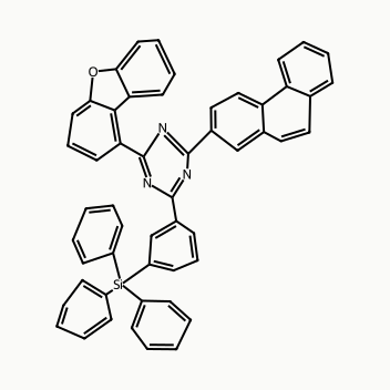 c1ccc([Si](c2ccccc2)(c2ccccc2)c2cccc(-c3nc(-c4ccc5c(ccc6ccccc65)c4)nc(-c4cccc5oc6ccccc6c45)n3)c2)cc1